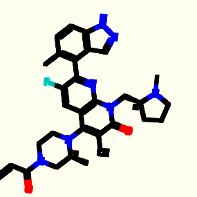 C=CC(=O)N1CCN(c2c(C#N)c(=O)n(C[C@@H]3CCCN3C)c3nc(-c4c(C)ccc5[nH]ncc45)c(F)cc23)[C@@H](C)C1